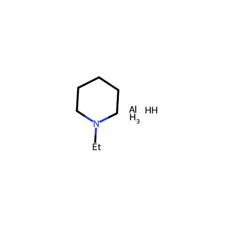 CCN1CCCCC1.[AlH3].[HH]